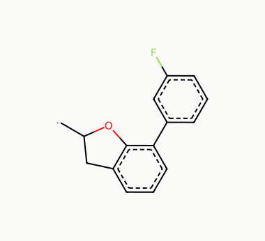 [CH2]C1Cc2cccc(-c3cccc(F)c3)c2O1